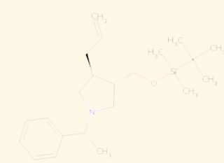 C=CC[C@@H]1CN([C@H](C)c2ccccc2)C[C@H]1CO[Si](C)(C)C(C)(C)C